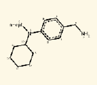 CCCCCCCN(c1ccc(CN)cc1)C1CCCCC1